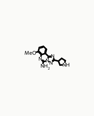 COc1cccc2c1nc(N)n1nc(C3CCNC3)nc21